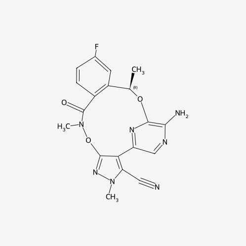 C[C@H]1Oc2nc(cnc2N)-c2c(nn(C)c2C#N)ON(C)C(=O)c2ccc(F)cc21